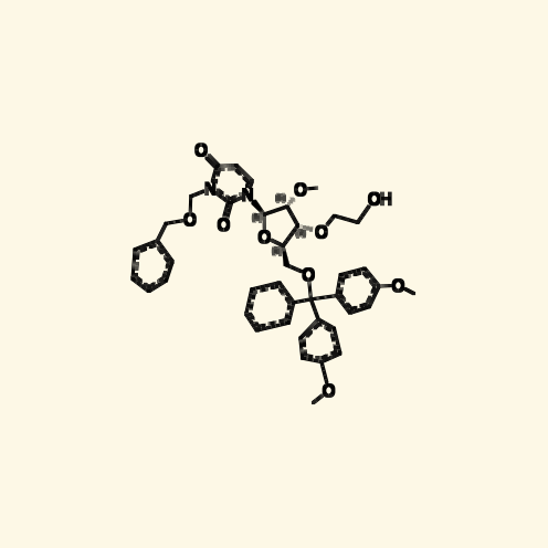 COc1ccc(C(OC[C@H]2O[C@@H](n3ccc(=O)n(COCc4ccccc4)c3=O)[C@H](OC)[C@@H]2OCCO)(c2ccccc2)c2ccc(OC)cc2)cc1